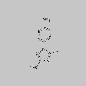 CSc1nc(C)n(-c2ccc(N)cc2)n1